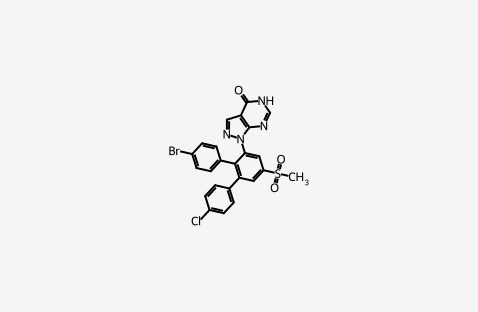 CS(=O)(=O)c1cc(-c2ccc(Cl)cc2)c(-c2ccc(Br)cc2)c(-n2ncc3c(=O)[nH]cnc32)c1